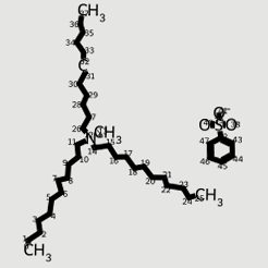 CCCCCCCCCCCC[N+](C)(CCCCCCCCCCCC)CCCCCCCCCCCC.O=S(=O)([O-])c1ccccc1